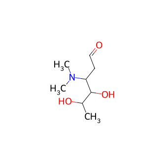 CC(O)C(O)C(CC=O)N(C)C